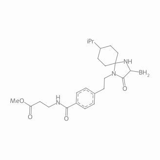 BC1NC2(CCC(C(C)C)CC2)N(CCc2ccc(C(=O)NCCC(=O)OC)cc2)C1=O